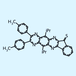 Cc1ccc(-c2nc3c(C(C)C)c4nc5c(nc4c(C(C)C)c3nc2-c2ccc(C)cc2)-c2ccccc2C5=S)cc1